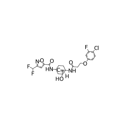 O=C(CCOc1ccc(Cl)c(F)c1)NC12CCC(NC(=O)c3cc(C(F)F)no3)(CC1)C[C@@H]2O